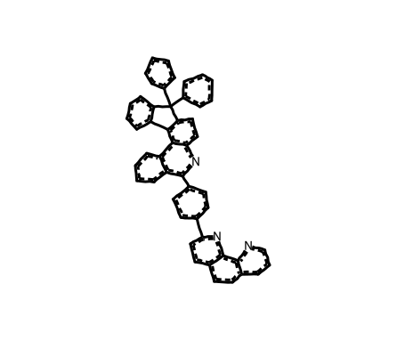 c1ccc(C2(c3ccccc3)c3ccccc3-c3c2ccc2nc(-c4ccc(-c5ccc6ccc7cccnc7c6n5)cc4)c4ccccc4c32)cc1